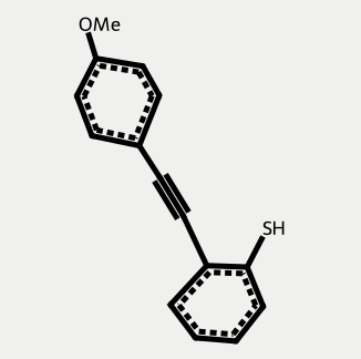 COc1ccc(C#Cc2ccccc2S)cc1